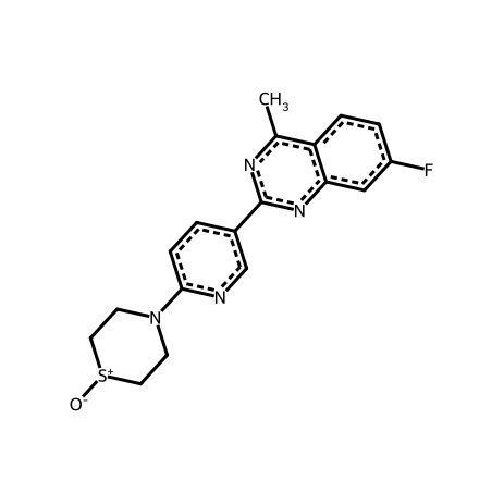 Cc1nc(-c2ccc(N3CC[S+]([O-])CC3)nc2)nc2cc(F)ccc12